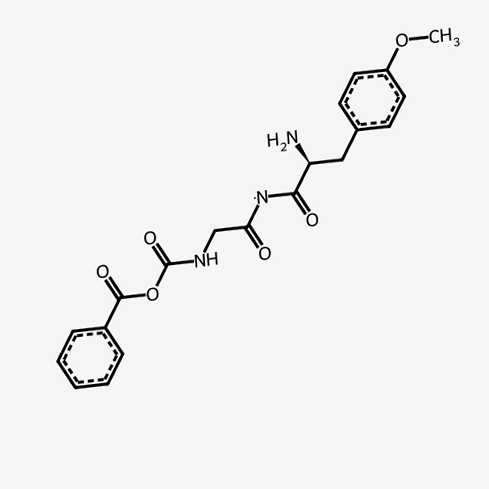 COc1ccc(C[C@H](N)C(=O)[N]C(=O)CNC(=O)OC(=O)c2ccccc2)cc1